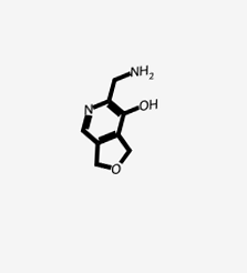 NCc1ncc2c(c1O)COC2